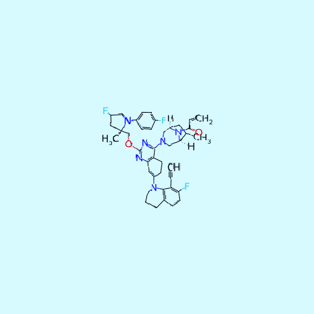 C#Cc1c(F)ccc2c1N(C1=Cc3nc(OC[C@]4(C)C[C@@H](F)CN4c4ccc(F)cc4)nc(N4C[C@H]5CC(C)[C@@H](C4)N5C(=O)C=C)c3CC1)CCC2